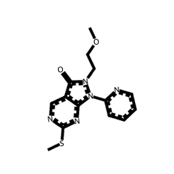 COCCn1c(=O)c2cnc(SC)nc2n1-c1ccccn1